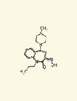 CCCn1c(=O)/c(=N\O)nc(N2CCN(C)CC2)c2ccccc21